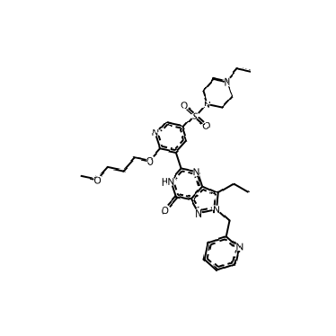 CCc1c2nc(-c3cc(S(=O)(=O)N4CCN(CC)CC4)cnc3OCCCOC)[nH]c(=O)c2nn1Cc1ccccn1